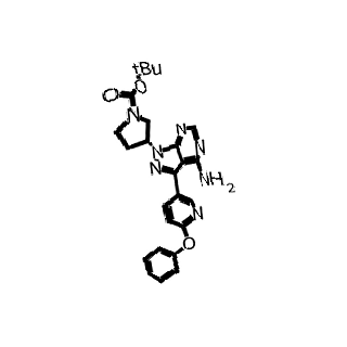 CC(C)(C)OC(=O)N1CC[C@H](n2nc(-c3ccc(Oc4ccccc4)nc3)c3c(N)ncnc32)C1